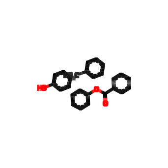 O=C(O)c1ccccc1.O=C(Oc1ccccc1)c1ccccc1.Oc1ccccc1